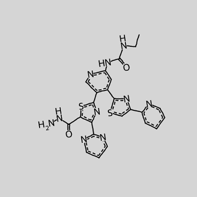 CCNC(=O)Nc1cc(-c2nc(-c3ccccn3)cs2)c(-c2nc(-c3ncccn3)c(C(=O)NN)s2)cn1